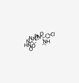 CC(C)NC[C@@H](C(=O)N1CCN(c2ncnc3c2[C@@H](C)OC(=O)N3)[C@H]2C[C@]21C)c1ccc(Cl)cc1